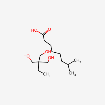 CC(C)CCCCCC(=O)O.CCC(CO)(CO)CO